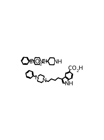 CCOC(=O)C1CCNCC1.O=C(O)c1ccc2[nH]cc(CCCCN3CCN(c4ccccc4)CC3)c2c1.c1ccc(N2CCNCC2)cc1